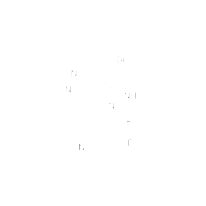 N#Cc1ccc(Cn2cncc2CCCN(Cc2ccccc2C(F)(F)F)C(=S)Nc2cccc(Br)c2)cc1